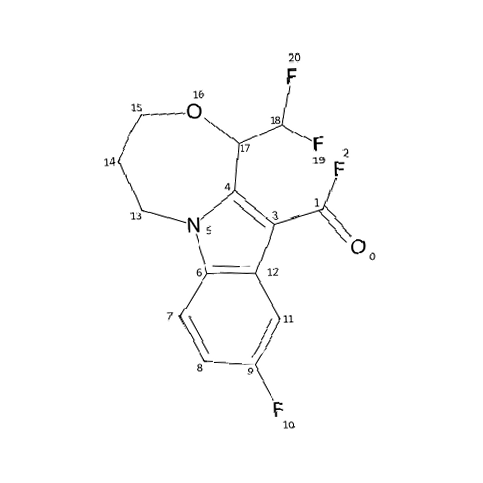 O=C(F)c1c2n(c3ccc(F)cc13)CCCOC2C(F)F